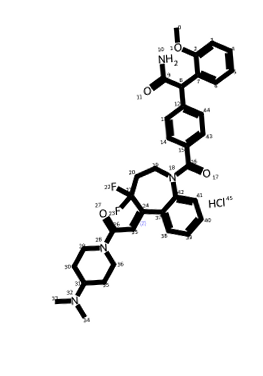 COc1ccccc1C(C(N)=O)c1ccc(C(=O)N2CCC(F)(F)/C(=C\C(=O)N3CCC(N(C)C)CC3)c3ccccc32)cc1.Cl